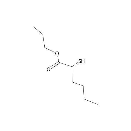 CCCCC(S)C(=O)OCCC